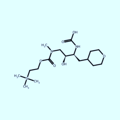 CN(C[C@H](O)[C@H](CC1CCOCC1)NC(=O)O)C(=O)OCC[Si](C)(C)C